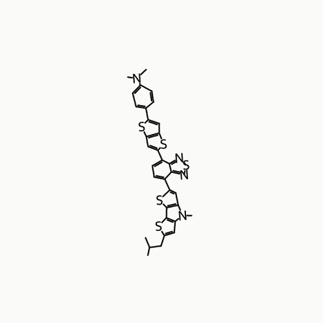 CC(C)Cc1cc2c(s1)c1sc(-c3ccc(-c4cc5sc(-c6ccc(N(C)C)cc6)cc5s4)c4nsnc34)cc1n2C